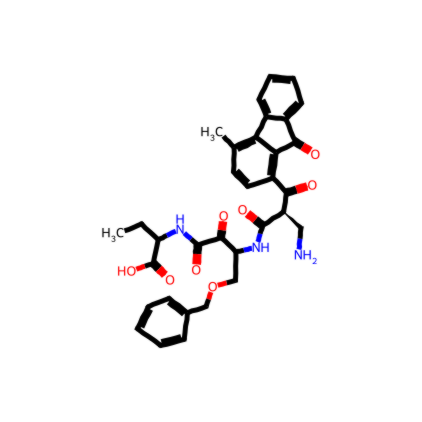 CCC(NC(=O)C(=O)C(COCc1ccccc1)NC(=O)[C@H](CN)C(=O)c1ccc(C)c2c1C(=O)c1ccccc1-2)C(=O)O